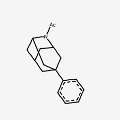 CC(=O)N1C2CC3CC1CC(c1ccccc1)(C3)C2